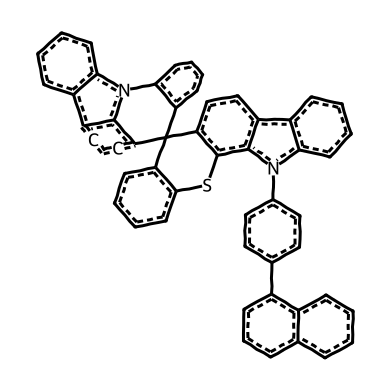 c1ccc2c(c1)Sc1c(ccc3c4ccccc4n(-c4ccc(-c5cccc6ccccc56)cc4)c13)C21c2ccccc2-n2c3ccccc3c3cccc1c32